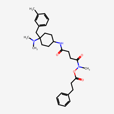 Cc1cccc(CC2(N(C)C)CCC(NC(=O)CCC(=O)N(C)OC(=O)CCc3ccccc3)CC2)c1